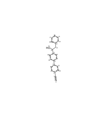 N#Cc1ccc(-c2ccc(C(O)Cc3ccccn3)nc2)cn1